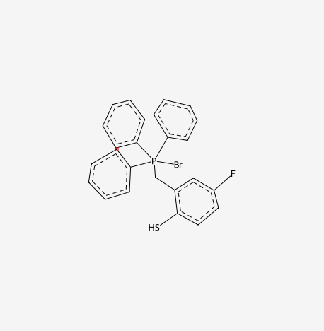 Fc1ccc(S)c(CP(Br)(c2ccccc2)(c2ccccc2)c2ccccc2)c1